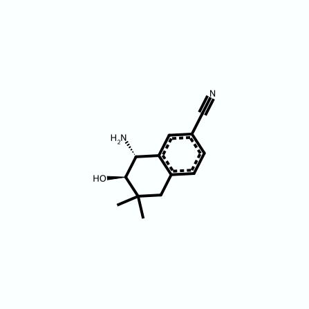 CC1(C)Cc2ccc(C#N)cc2[C@@H](N)[C@@H]1O